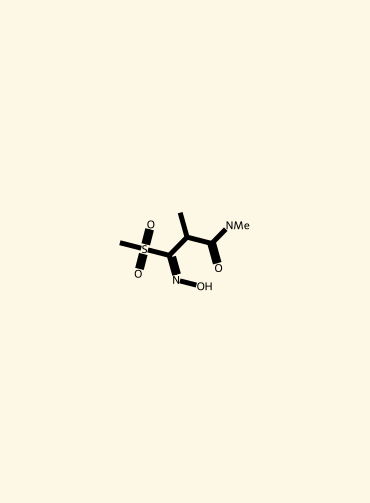 CNC(=O)C(C)/C(=N\O)S(C)(=O)=O